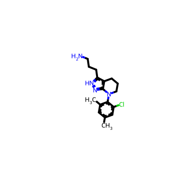 Cc1cc(C)c(N2CCCc3c2n[nH]c3CCCN)c(Cl)c1